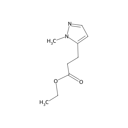 CCOC(=O)CCc1ccnn1C